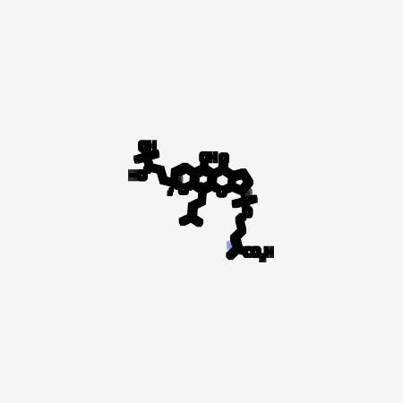 CC(C)=CCc1c2c(c(O)c3c1OC1C(=CC[C@@H]1C(C)(C)OCC/C=C(/C)C(=O)O)C3=O)C=C[C@](C)(CCC(O)C(C)(C)O)O2